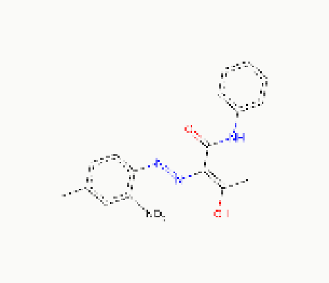 CC(O)=C(N=Nc1ccc(C)cc1[N+](=O)[O-])C(=O)Nc1ccccc1